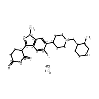 C[C@H]1CNCC[C@H]1CN1CCC(c2cc3c(cc2F)c(C2CCC(=O)NC2=O)nn3C)CC1.Cl.Cl